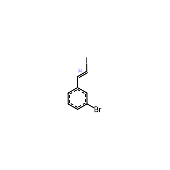 Brc1cccc(/C=C/I)c1